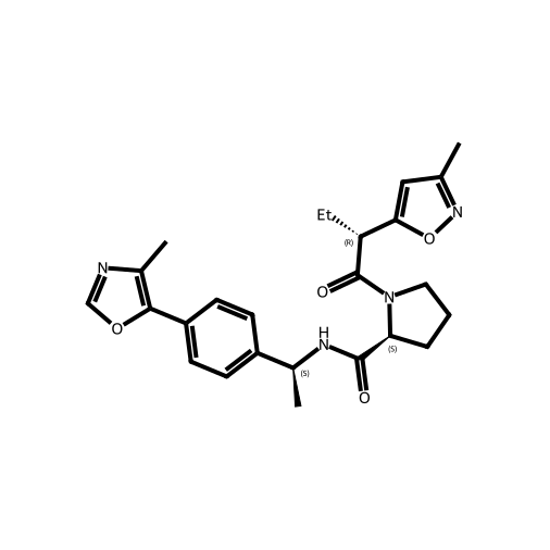 CC[C@@H](C(=O)N1CCC[C@H]1C(=O)N[C@@H](C)c1ccc(-c2ocnc2C)cc1)c1cc(C)no1